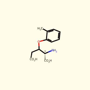 Cc1ccccc1OC(CC(=O)O)[C@H](N)C(=O)O